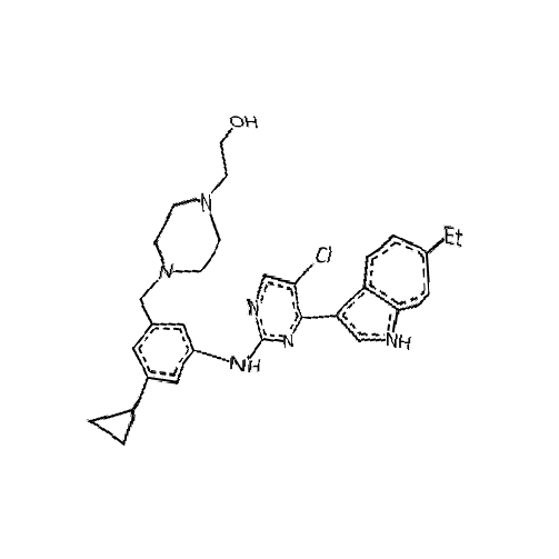 CCc1ccc2c(-c3nc(Nc4cc(CN5CCN(CCO)CC5)cc(C5CC5)c4)ncc3Cl)c[nH]c2c1